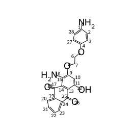 Nc1ccc(OCCOc2cc(O)c3c(c2N)C(=O)c2ccccc2C3=O)cc1